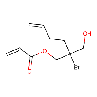 C=CCCC(CC)(CO)COC(=O)C=C